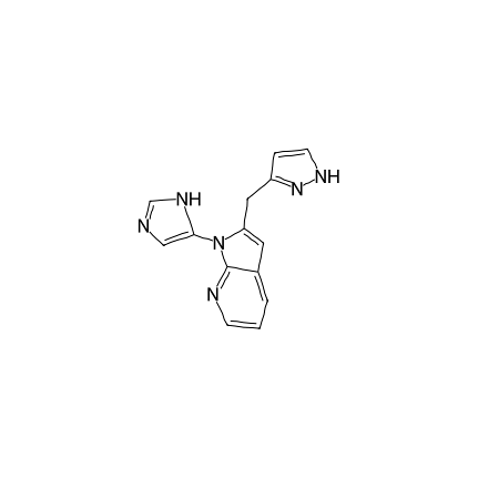 c1cnc2c(c1)cc(Cc1cc[nH]n1)n2-c1cnc[nH]1